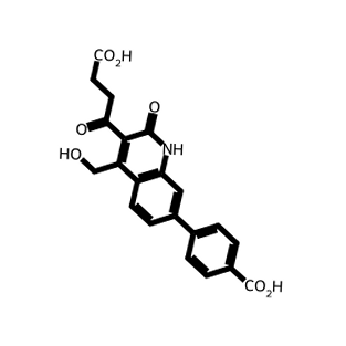 O=C(O)CCC(=O)c1c(CO)c2ccc(-c3ccc(C(=O)O)cc3)cc2[nH]c1=O